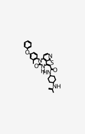 C=C(C)NC1CCC(NC(=O)c2sc3nccc4c3c2NC(=O)N4c2ccc(Oc3ccccc3)cc2C)CC1